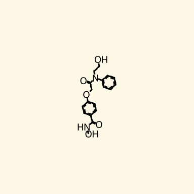 O=C(NO)c1ccc(OCC(=O)N(CCO)c2ccccc2)cc1